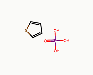 O=P(O)(O)O.c1ccsc1